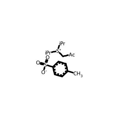 CC(=O)C[S+](C(C)C)C(C)C.Cc1ccc(S(=O)(=O)[O-])cc1